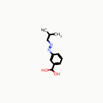 CC(C#N)CN=Nc1cccc(C(O)O)c1